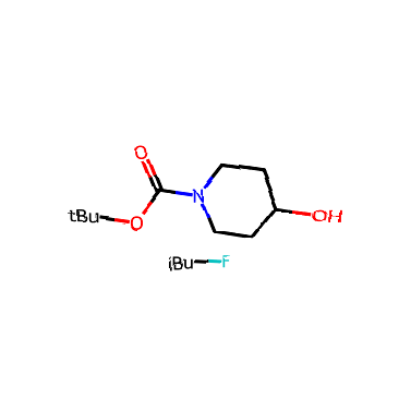 CC(C)(C)OC(=O)N1CCC(O)CC1.CCC(C)F